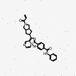 C=CC(=O)N1CC2CC(C3=C4C=NC=C[N+]4(N)C(c4ccc(C(=O)Nc5ccccc5)cc4)=N3)CC2C1